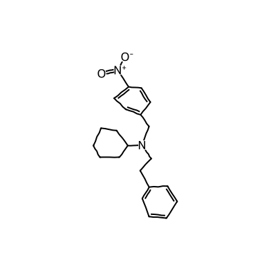 O=[N+]([O-])c1ccc(CN(CCc2ccccc2)C2CCCCC2)cc1